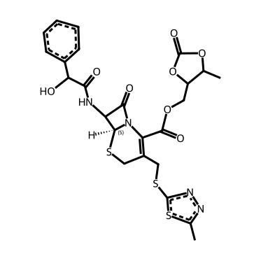 Cc1nnc(SCC2=C(C(=O)OCC3OC(=O)OC3C)N3C(=O)C(NC(=O)C(O)c4ccccc4)[C@@H]3SC2)s1